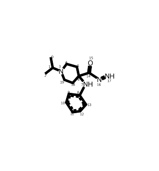 CC(C)N1CCC(Nc2ccccc2)(C(=O)N=N)CC1